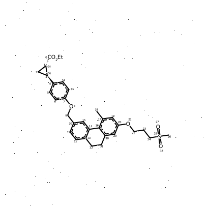 CCOC(=O)[C@H]1C[C@@H]1c1ccc(OCc2ccc3c(c2)-c2c(C)cc(OCCCS(C)(=O)=O)cc2CC3)cc1